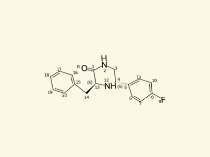 O=C1NC[C@H](c2ccc(F)cc2)N[C@H]1Cc1ccccc1